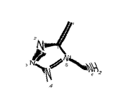 C=C1N=NN=[N+]1N